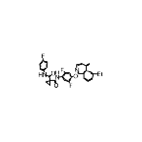 C=C1C=CN=C(Oc2cc(F)c(NC(=O)C3(C(=O)Nc4ccc(F)cc4)CC3)cc2F)C2=C1C=C(CC)C=C=C2